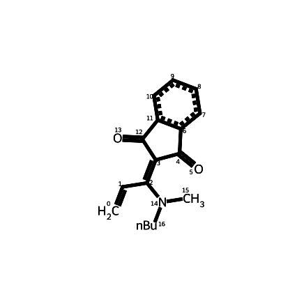 C=CC(=C1C(=O)c2ccccc2C1=O)N(C)CCCC